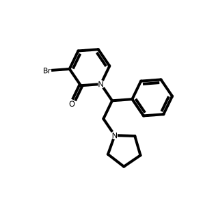 O=c1c(Br)cccn1C(CN1CCCC1)c1ccccc1